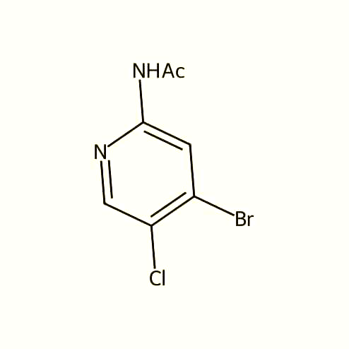 CC(=O)Nc1cc(Br)c(Cl)cn1